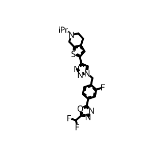 CC(C)N1CCc2cc(-c3cn(Cc4ccc(-c5nnc(C(F)F)o5)cc4F)nn3)sc2C1